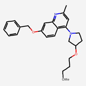 COCCCOC1CCN(c2cc(C)nc3cc(OCc4ccccc4)ccc23)C1